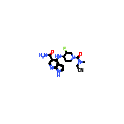 CN(CC#N)C(=O)N1CCC(Nc2c(C(N)=O)cnc3[nH]ccc23)C(F)C1